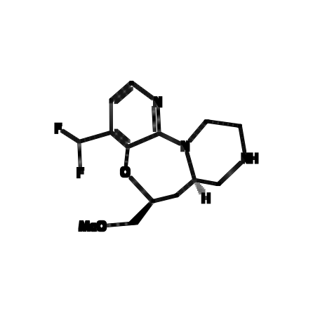 COC[C@@H]1C[C@@H]2CNCCN2c2nccc(C(F)F)c2O1